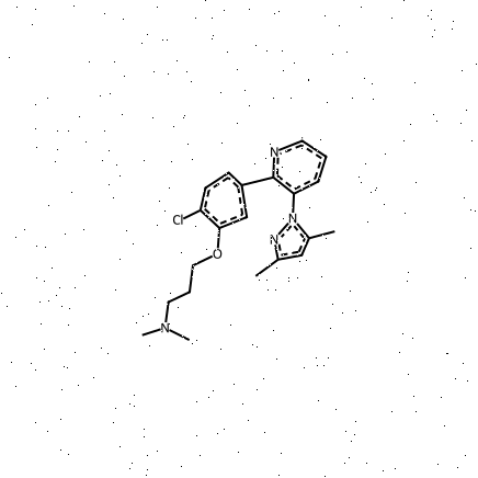 Cc1cc(C)n(-c2cc[c]nc2-c2ccc(Cl)c(OCCCN(C)C)c2)n1